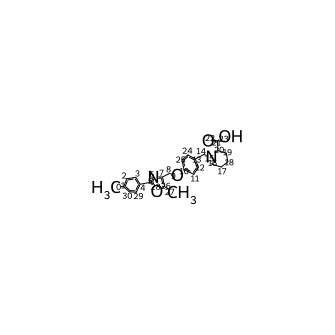 Cc1ccc(-c2nc(COc3ccc(CN4CCCCC4C(=O)O)cc3)c(C)o2)cc1